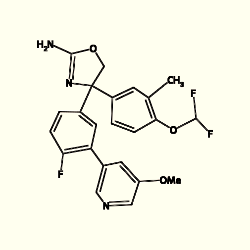 COc1cncc(-c2cc(C3(c4ccc(OC(F)F)c(C)c4)COC(N)=N3)ccc2F)c1